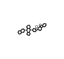 c1ccc2cc(-c3c4ccccc4c(-c4ccc5c(c4)oc4c5ccc5c6ccccc6oc54)c4ccccc34)ccc2c1